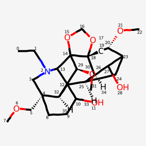 CCN1C[C@]2(COC)CCC(O)C34C1C1(OCO[C@@]15C[C@H](OC)C1C[C@@H]3[C@@H]5C1O)[C@@H](OC)[C@@H]42